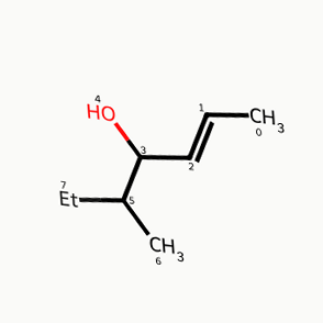 CC=CC(O)C(C)CC